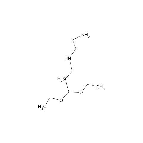 CCOC(OCC)[SiH2]CNCCN